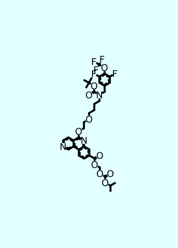 CC(C)OC(=O)OCOC(=O)c1ccc2c(c1)nc(OCCOCCCCN(Cc1cc(F)c(OC(F)(F)F)c(F)c1)C(=O)OC(C)(C)C)c1ccncc12